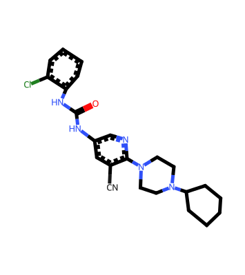 N#Cc1cc(NC(=O)Nc2ccccc2Cl)cnc1N1CCN(C2CCCCC2)CC1